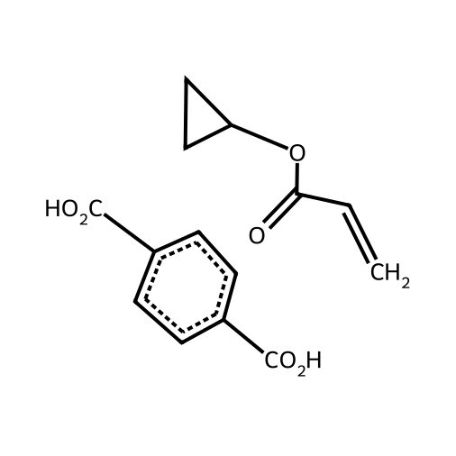 C=CC(=O)OC1CC1.O=C(O)c1ccc(C(=O)O)cc1